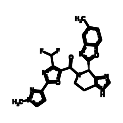 Cc1ccc2oc([C@@H]3c4nc[nH]c4CCN3C(=O)c3oc(-c4ccn(C)n4)nc3C(F)F)nc2c1